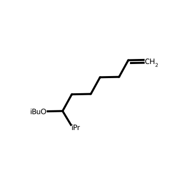 C=CCCCCC(OCC(C)C)C(C)C